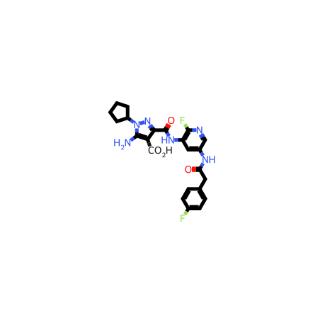 Nc1c(C(=O)O)c(C(=O)Nc2cc(NC(=O)Cc3ccc(F)cc3)cnc2F)nn1C1CCCC1